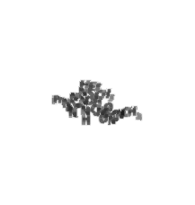 CC[C@H](Nc1nc(N[C@H]2CCN(S(=O)(=O)c3cn(C)cn3)C2)c2ncn(C(C)C)c2n1)[C@@H](C)O